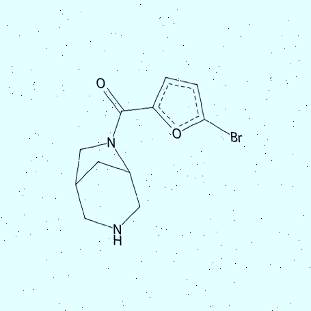 O=C(c1ccc(Br)o1)N1CC2CNCC1C2